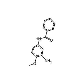 COc1ccc(NC(=O)c2ccccc2)cc1N